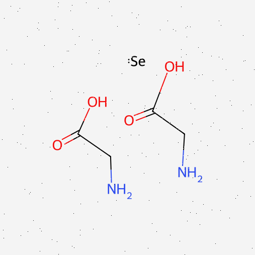 NCC(=O)O.NCC(=O)O.[Se]